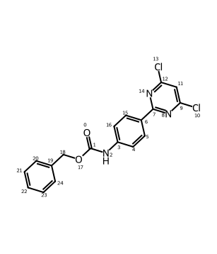 O=C(Nc1ccc(-c2nc(Cl)cc(Cl)n2)cc1)OCc1ccccc1